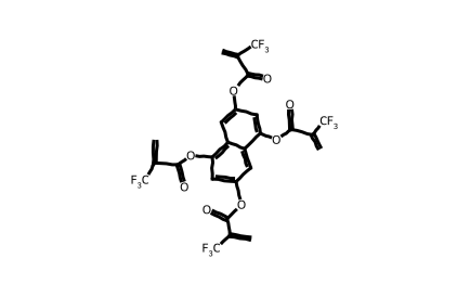 C=C(C(=O)Oc1cc(OC(=O)C(=C)C(F)(F)F)c2cc(OC(=O)C(=C)C(F)(F)F)cc(OC(=O)C(=C)C(F)(F)F)c2c1)C(F)(F)F